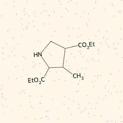 CCOC(=O)C1CNC(C(=O)OCC)C1C